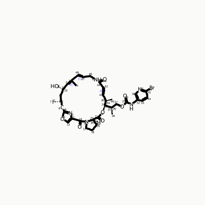 CC1=C\[C@@H](O)C[C@@H](F)Cc2nc(co2)C(=O)N2CCC[C@@H]2C(=O)O[C@H]([C@H](C)COC(=O)Nc2ccc(Br)nc2)[C@H](C)/C=C/C(=O)NC\C=C\1